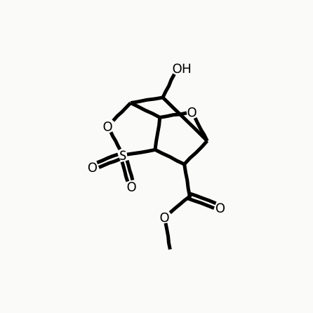 COC(=O)C1C2OC3C(OS(=O)(=O)C31)C2O